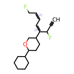 C#CC(F)/C(=C\C=C/CF)C1CCC(C2CCCCC2)OC1